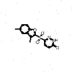 Cc1ccc2oc(S(=O)(=O)c3ccc(=O)[nH]n3)c(C)c2c1